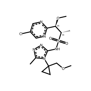 COCC1(n2c(C)nnc2NS(=O)(=O)[C@@H](C)[C@H](OC)c2ncc(Cl)cn2)CC1